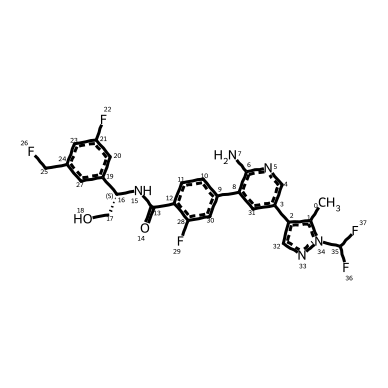 Cc1c(-c2cnc(N)c(-c3ccc(C(=O)N[C@H](CO)c4cc(F)cc(CF)c4)c(F)c3)c2)cnn1C(F)F